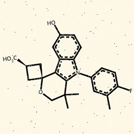 Cc1cc(-n2c3c(c4cc(O)ccc42)[C@]2(C[C@H](C(=O)O)C2)OCC3(C)C)ccc1F